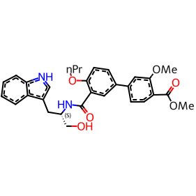 CCCOc1ccc(-c2ccc(C(=O)OC)c(OC)c2)cc1C(=O)N[C@H](CO)Cc1c[nH]c2ccccc12